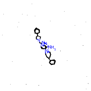 Nc1c(N2CCC(c3ccccc3)CC2)ccn2c(CN3CCC(c4ccccc4)CC3)nnc12